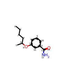 CCCCC(C)Oc1cccc(C(N)=O)c1